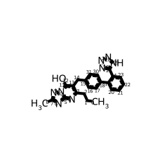 CCCc1nc2nc(C)nn2c(O)c1Cc1ccc(-c2ccccc2-c2nnn[nH]2)cc1